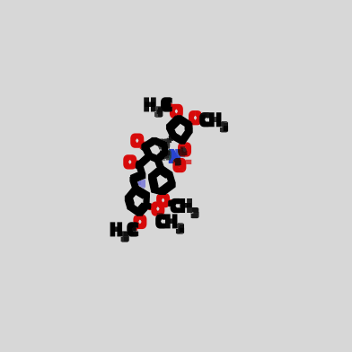 COC1=CCC([C@H]2CC(=O)C(C(=O)/C=C/c3ccc(OC)c(OC)c3)C(c3ccc(OC)cc3)[C@H]2[N+](=O)[O-])C=C1OC